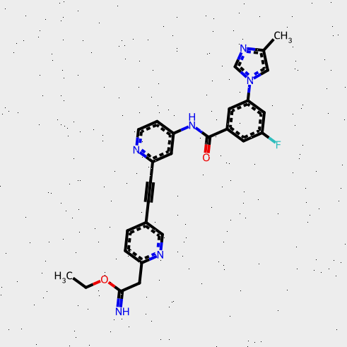 CCOC(=N)Cc1ccc(C#Cc2cc(NC(=O)c3cc(F)cc(-n4cnc(C)c4)c3)ccn2)cn1